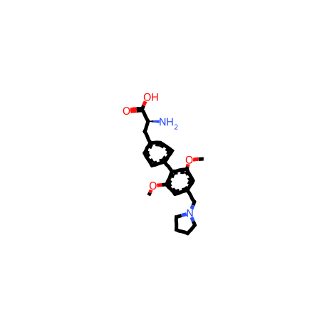 COc1cc(CN2CCCC2)cc(OC)c1-c1ccc(C[C@H](N)C(=O)O)cc1